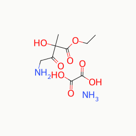 CCOC(=O)C(C)(O)C(=O)CN.N.O=C(O)C(=O)O